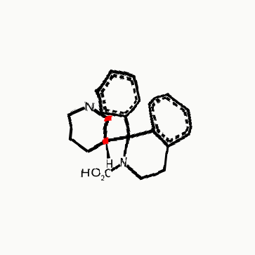 O=C(O)N1CCc2ccccc2C1(c1ccccc1)[C@H]1CN2CCC1CC2